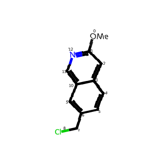 COc1cc2ccc(CCl)cc2cn1